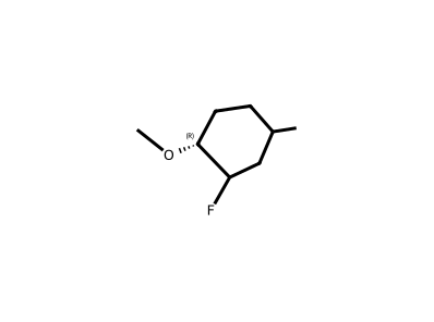 CO[C@@H]1CCC(C)CC1F